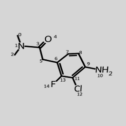 CN(C)C(=O)Cc1ccc(N)c(Cl)c1F